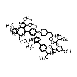 Cc1ncsc1-c1ccc(C(C)NC(=O)[C@@H]2C[C@@H](O)CN2C(=O)C(NC(=O)CC2CCN(c3ccc(C4=N[C@@H](CC(=O)O)c5nnc(C)n5-c5sc(C)c(C)c54)cc3)CC2)C(C)(C)C)cc1